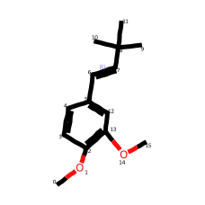 COc1ccc(/C=C/C(C)(C)C)cc1OC